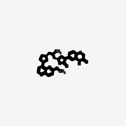 COc1ccc2nccc(N3CC[C@@H](CN(C)C[C@@H]4CN(c5ccc6c(c5)NC(=O)CS6)C(=O)O4)C3)c2n1